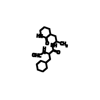 CC(CC1CCCNC1=O)NC(=O)C(CC1CCCCC1)NC=O